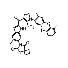 Cc1cc2cc(C(=O)c3cnn(-c4cnc(Oc5c(F)cccc5F)cc4C)c3N)[nH]c2cc1N1C(=O)NC2(CCC2)C1=O